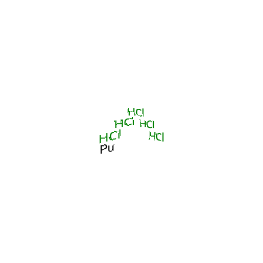 Cl.Cl.Cl.Cl.Cl.[Pu]